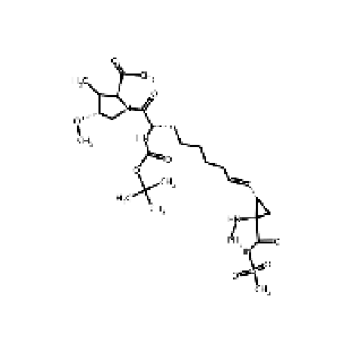 CO[C@H]1CN(C(=O)[C@H](CCCCC/C=C/[C@@H]2C[C@]2(NP)C(=O)NS(C)(=O)=O)NC(=O)OC(C)(C)C)[C@H](C(C)=O)C1C